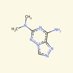 CN(C)c1nc(N)c2nncn2n1